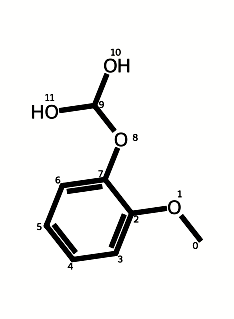 COc1ccccc1OC(O)O